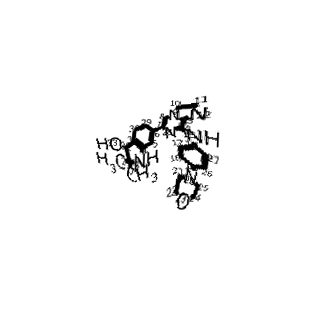 CC1(C)Nc2cc(-c3cn4ccnc4c(NC4=CCC(N5CCOCC5)C=C4)n3)ccc2[C@@H]1O